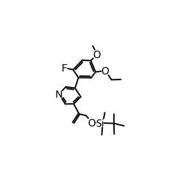 C=C(CO[Si](C)(C)C(C)(C)C)c1cncc(-c2cc(OCC)c(OC)cc2F)c1